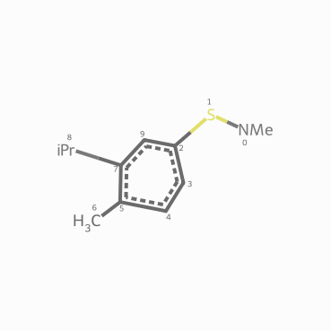 CNSc1ccc(C)c(C(C)C)c1